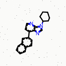 c1ccc2cc(-c3ccnc4c3ncn4C3CCCCC3)ccc2c1